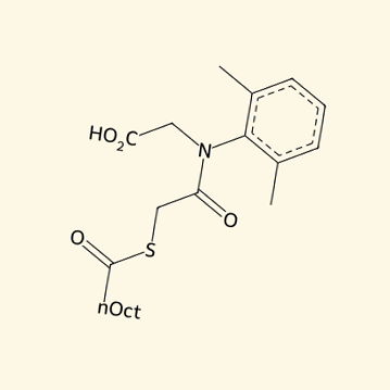 CCCCCCCCC(=O)SCC(=O)N(CC(=O)O)c1c(C)cccc1C